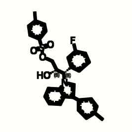 Cc1ccc(-c2cn([C@@H](c3cccc(F)c3)[C@H](O)COS(=O)(=O)c3ccc(C)cc3)c3ccccc23)cc1